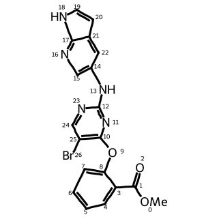 COC(=O)c1ccccc1Oc1nc(Nc2cnc3[nH]ccc3c2)ncc1Br